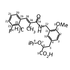 COc1ccc(CC(OC(C)C)C(=O)O)cc1CNC(=O)/C(C)=C/c1cccc(F)c1C